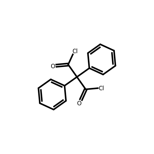 O=C(Cl)C(C(=O)Cl)(c1ccccc1)c1ccccc1